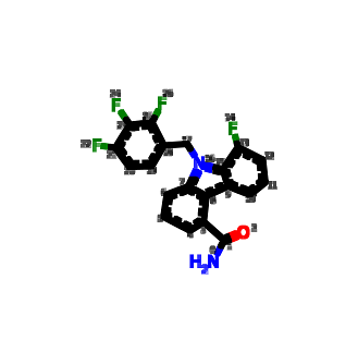 NC(=O)c1cccc2c1c1[c]ccc(F)c1n2Cc1ccc(F)c(F)c1F